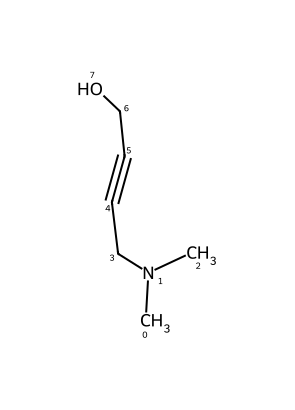 CN(C)CC#CCO